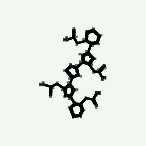 O=C(O)Cc1ccccc1-c1cc(CC(=O)O)c(-c2ccc(-c3sc(-c4ccccc4CC(=O)O)cc3CC(=O)O)s2)s1